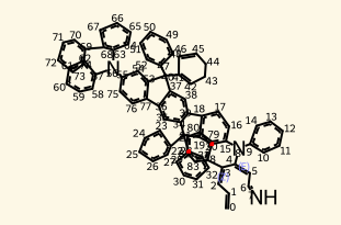 C=C/C=C(\C(=C/C=N)N(c1ccccc1)c1ccc2c(c1)C(c1ccccc1)(c1ccccc1)c1cc3c(cc1-2)C(C1=CCCC=C1)(c1ccccc1)c1cc(N(c2ccccc2)c2ccccc2-c2ccccc2)ccc1-3)c1ccccc1